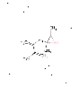 C=C(C)C(=C)CC1(C)BC1C